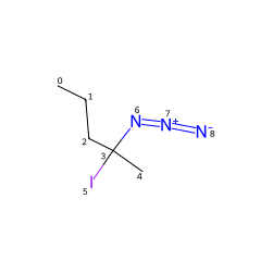 CCCC(C)(I)N=[N+]=[N-]